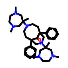 CN1CCN(C)CC(C)(N2CCC3(c4ccccc4)CN(C4(C)CN(C)CCN(C)C4)CC(c4ccccc4)(CC2)C3=O)C1